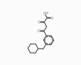 O=C(O)C(=O)CC(=O)c1cccc(CC2CCCCC2)c1